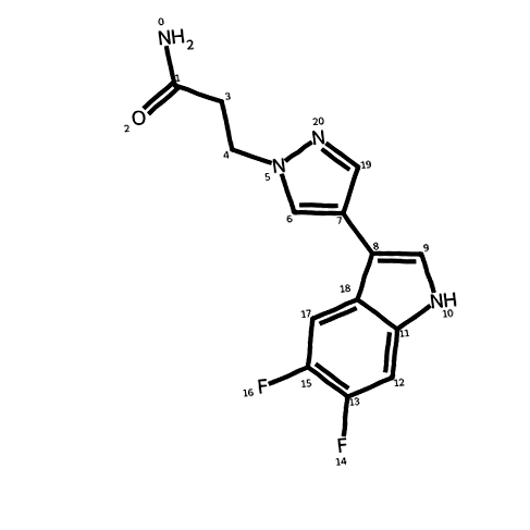 NC(=O)CCn1cc(-c2c[nH]c3cc(F)c(F)cc23)cn1